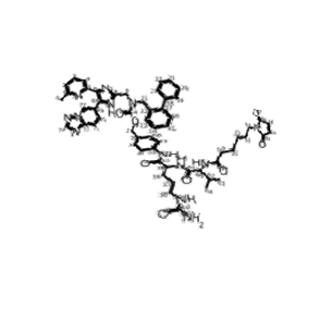 Cc1cccc(-c2nc(CN(Cc3ccccc3-c3ccccc3)C(=O)OCc3ccc(NC(=O)[C@H](CCCNC(N)=O)NC(=O)[C@@H](NC(=O)CCCCCN4C(=O)C=CC4=O)C(C)C)cc3)[nH]c2-c2ccc3ncnn3c2)n1